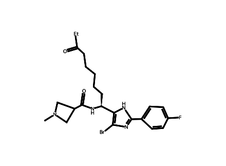 CCC(=O)CCCCC[C@H](NC(=O)C1CN(C)C1)c1[nH]c(-c2ccc(F)cc2)nc1Br